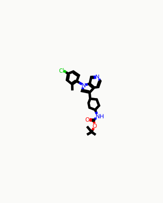 Cc1cc(Cl)ccc1-n1cc(C2CCC(NC(=O)OC(C)(C)C)CC2)c2ccncc21